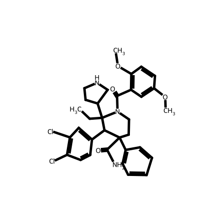 CCC1(C2CCNC2)C(c2ccc(Cl)c(Cl)c2)C(C(N)=O)(c2ccccc2)CCN1C(=O)c1cc(OC)ccc1OC